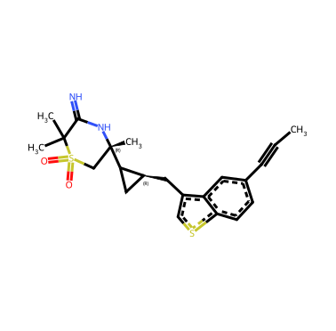 CC#Cc1ccc2scc(C[C@H]3CC3[C@]3(C)CS(=O)(=O)C(C)(C)C(=N)N3)c2c1